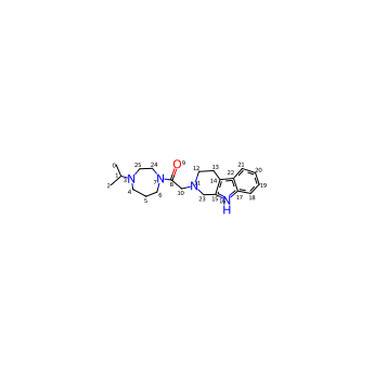 CC(C)N1CCCN(C(=O)CN2CCc3c([nH]c4ccccc34)C2)CC1